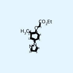 CCOC(=O)COc1ccc(-n2cccn2)cc1C